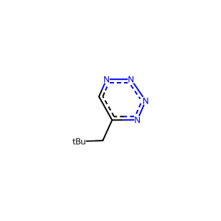 CC(C)(C)Cc1cnnnn1